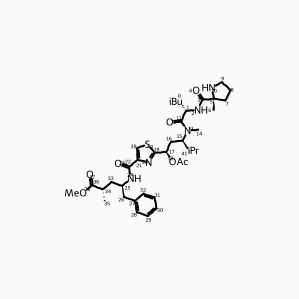 CCC(C)[C@H](NC(=O)[C@@]1(C)CCCN1)C(=O)N(C)[C@H](C[C@@H](OC(C)=O)c1nc(C(=O)N[C@@H](Cc2ccccc2)C[C@H](C)C(=O)OC)cs1)C(C)C